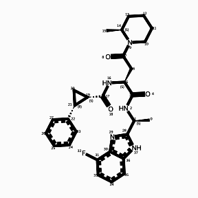 C[C@H](NC(=O)[C@H](CC(=O)N1CCCC[C@@H]1C)NC(=O)[C@H]1C[C@H]1c1ccccc1)c1nc2c(F)cccc2[nH]1